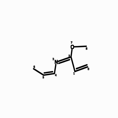 C=C/C(=N\C=C/C)OC